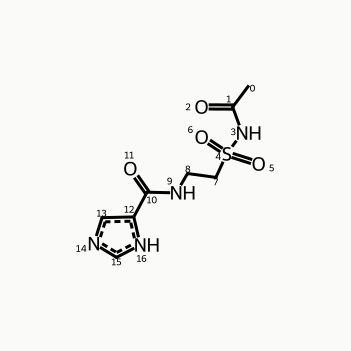 CC(=O)NS(=O)(=O)CCNC(=O)c1cnc[nH]1